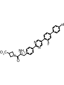 CCCc1ccc(-c2ccc(-c3cnc(-c4ccc(C[C@H](N)C(=O)N5CC(C(=O)O)C5)cc4)nc3)c(F)c2)cc1